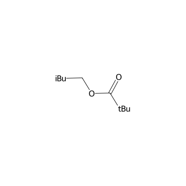 CCC(C)COC(=O)C(C)(C)C